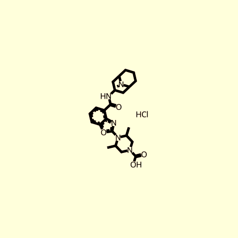 CC1CN(C(=O)O)CC(C)N1c1nc2c(C(=O)NC3CC4CCCC(C3)N4C)cccc2o1.Cl